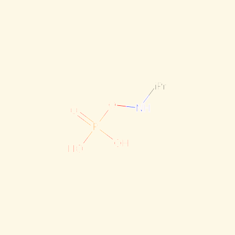 CC(C)NOP(=O)(O)O